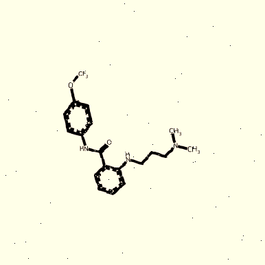 CN(C)CCCNc1ccccc1C(=O)Nc1ccc(OC(F)(F)F)cc1